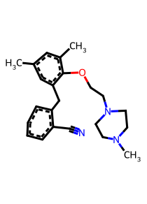 Cc1cc(C)c(OCCN2CCN(C)CC2)c(Cc2ccccc2C#N)c1